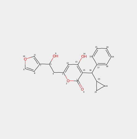 O=c1oc(CC(O)c2ccoc2)cc(O)c1C(c1ccccc1)C1CC1